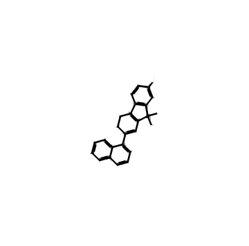 CC1(C)C2=C(CCC(c3cccc4ccccc34)=C2)c2ccc(F)cc21